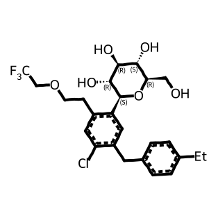 CCc1ccc(Cc2cc([C@@H]3O[C@H](CO)[C@@H](O)[C@H](O)[C@H]3O)c(CCOCC(F)(F)F)cc2Cl)cc1